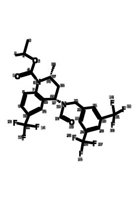 CC(C)OC(=O)N1c2ccc(C(F)(F)F)cc2[C@@H](N(C=O)Cc2cc(C(F)(F)F)cc(C(F)(F)F)c2)C[C@H]1C